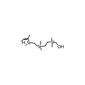 CC=C(C)[SiH2]CC[Si](C)(C)CC[Si](C)(C)CO